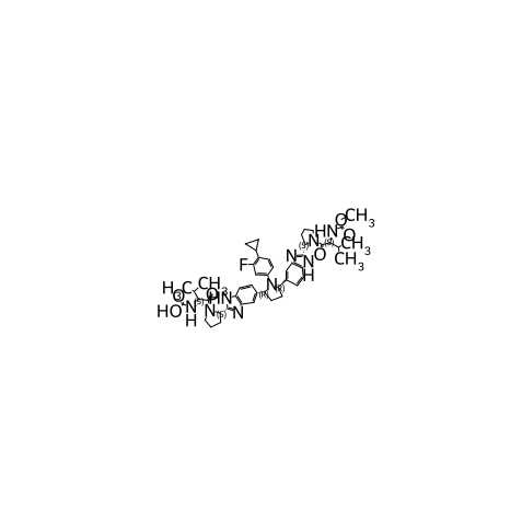 COC(=O)N[C@H](C(=O)N1CCC[C@H]1c1nc2cc([C@H]3CC[C@H](c4ccc5[nH]c([C@@H]6CCCN6C(=O)[C@@H](NC(=O)O)C(C)C)nc5c4)N3c3ccc(C4CC4)c(F)c3)ccc2[nH]1)C(C)C